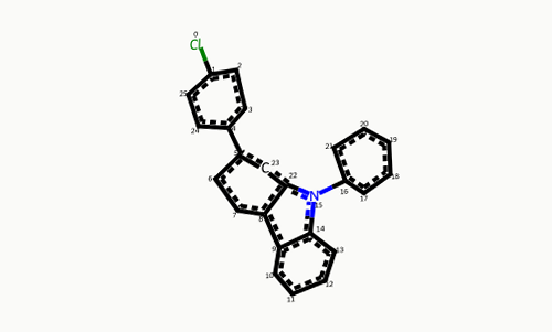 Clc1ccc(-c2ccc3c4ccccc4n(-c4ccccc4)c3c2)cc1